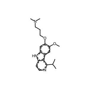 COc1cc2c(cc1OCCCN(C)C)[nH]c1ccnc(C(C)C)c12